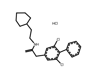 C=C(Cc1cc(Cl)c(-c2ccccc2)c(Cl)c1)NCCC1CCCCC1.Cl